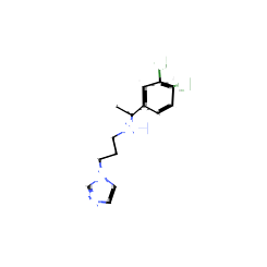 CC(NCCCn1ccnc1)c1ccc(Cl)c(Cl)c1